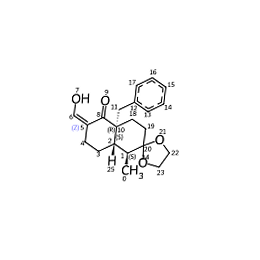 C[C@H]1[C@@H]2CC/C(=C/O)C(=O)[C@@]2(Cc2ccccc2)CCC12OCCO2